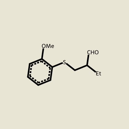 CCC(C=O)CSc1ccccc1OC